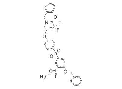 COC(=O)c1cc(S(=O)(=O)c2ccc(OCCN(Cc3ccccc3)C(=O)C(F)(F)F)cc2)ccc1OCc1ccccc1